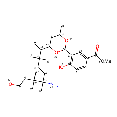 COC(=O)c1ccc(O)c(C2OC(C)CC(C(C)C(C)(C)CCC(C)(N)C(C)(C)CCO)O2)c1